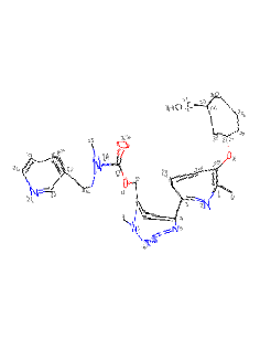 Cc1nc(-c2nnn(C)c2COC(=O)N(C)Cc2cccnc2)ccc1O[C@H]1CCC[C@H](C(=O)O)C1